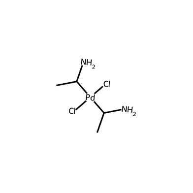 C[CH](N)[Pd]([Cl])([Cl])[CH](C)N